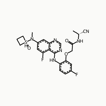 C[C@H](C#N)NC(=O)COc1cc(F)ccc1Nc1ncnc2cc(N(C)[SH]3(=O)CCC3)cc(F)c12